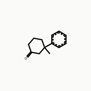 CC1(c2ccccc2)CCCC(=O)C1